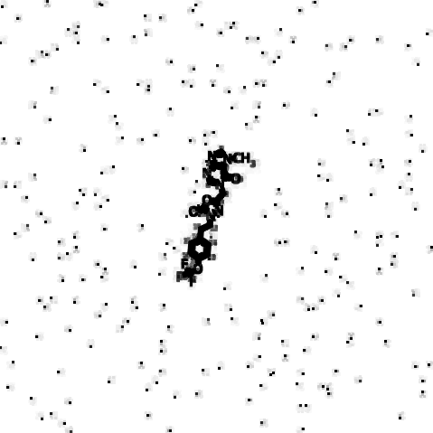 Cn1cnc2ncn(Cc3nn(CCc4ccc(OC(F)(F)F)cc4)c(=O)o3)c(=O)c21